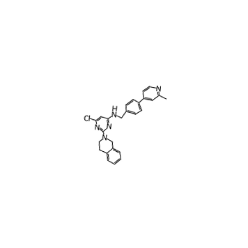 Cc1cc(-c2ccc(CNc3cc(Cl)nc(N4CCc5ccccc5C4)n3)cc2)ccn1